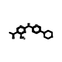 CC(=O)c1cnc(Nc2ccc(N3CCSCC3)cn2)nc1N